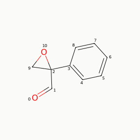 O=CC1(c2ccccc2)CO1